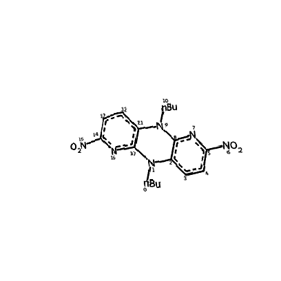 CCCCN1c2ccc([N+](=O)[O-])nc2N(CCCC)c2ccc([N+](=O)[O-])nc21